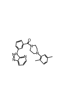 Cc1ccc(C)c(N2CCN(C(=O)c3cccc(-n4nnc5cccnc54)c3)CC2)c1